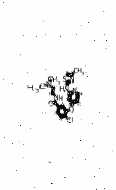 Cc1csc(Nc2cc(Oc3cc(C(=O)NCCN(C)C)ccc3Cl)ccn2)n1